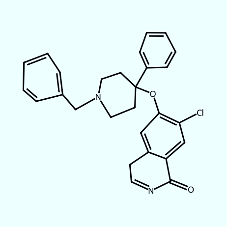 O=C1N=CCc2cc(OC3(c4ccccc4)CCN(Cc4ccccc4)CC3)c(Cl)cc21